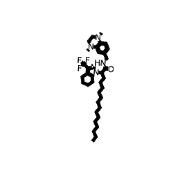 CCCCCCCCCCCCCCC(C(=O)NCc1ccc2c(c1)N(C)CCN2C)n1nc(C(F)(F)F)c2c1CCCC2